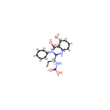 CC[C@H](NC(=O)O)c1nc2cccc(Br)c2c(=O)n1-c1ccccc1